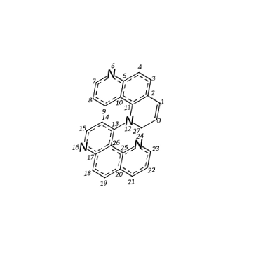 C1=Cc2ccc3ncccc3c2N(c2ccnc3ccc4cccnc4c23)C1